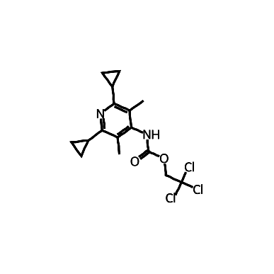 Cc1c(C2CC2)nc(C2CC2)c(C)c1NC(=O)OCC(Cl)(Cl)Cl